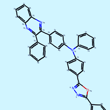 c1ccc(-c2nnc(-c3ccc(N(c4ccccc4)c4ccc(-c5nc6ccccc6nc5-c5ccccc5)cc4)cc3)o2)cc1